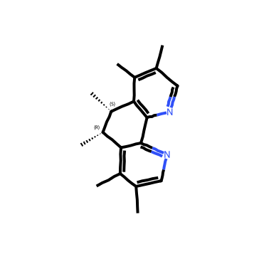 Cc1cnc2c(c1C)[C@@H](C)[C@@H](C)c1c-2ncc(C)c1C